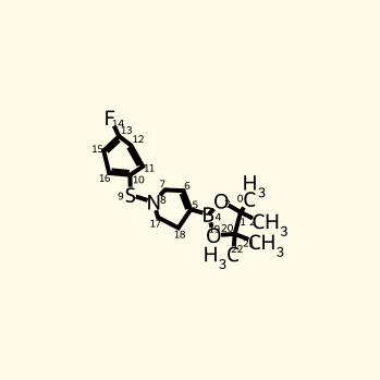 CC1(C)OB(C2=CCN(Sc3ccc(F)cc3)CC2)OC1(C)C